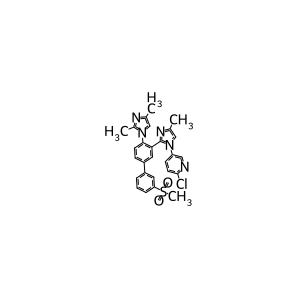 Cc1cn(-c2ccc(-c3cccc(S(C)(=O)=O)c3)cc2-c2nc(C)cn2-c2ccc(Cl)nc2)c(C)n1